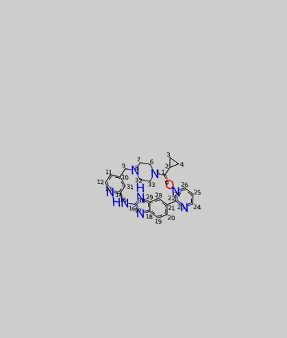 O=C(C1CC1)N1CCN(Cc2ccnc(Nc3nc4ccc(-c5ncccn5)cc4[nH]3)c2)CC1